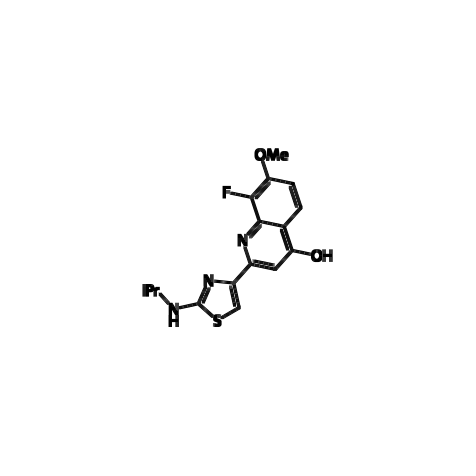 COc1ccc2c(O)cc(-c3csc(NC(C)C)n3)nc2c1F